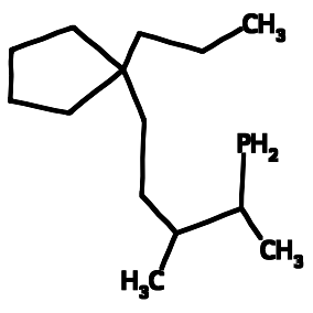 CCCC1(CCC(C)C(C)P)CCCC1